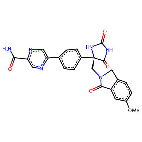 COc1ccc2c(c1)C(=O)N(C[C@@]1(c3ccc(-c4cnc(C(N)=O)cn4)cc3)NC(=O)NC1=O)C2